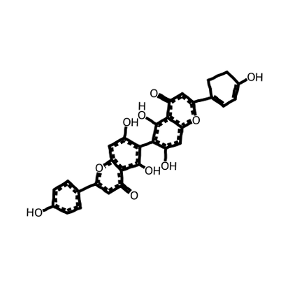 O=c1cc(C2=CC=C(O)CC2)oc2cc(O)c(-c3c(O)cc4oc(-c5ccc(O)cc5)cc(=O)c4c3O)c(O)c12